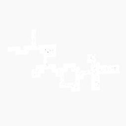 CCC(C)NC(=O)c1coc(S(=O)(=O)O)c1